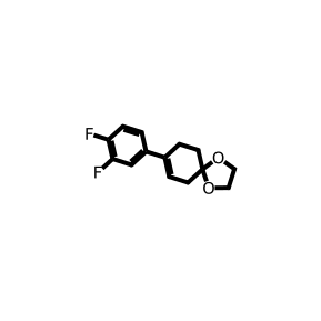 Fc1ccc(C2=CCC3(CC2)OCCO3)cc1F